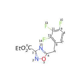 CCOC(=O)c1noc(Cc2ccc(F)c(F)c2F)n1